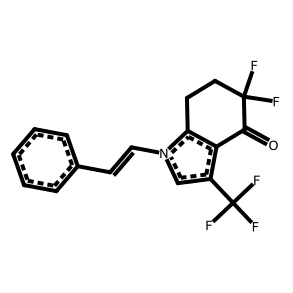 O=C1c2c(C(F)(F)F)cn(C=Cc3ccccc3)c2CCC1(F)F